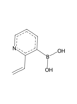 C=Cc1ncccc1B(O)O